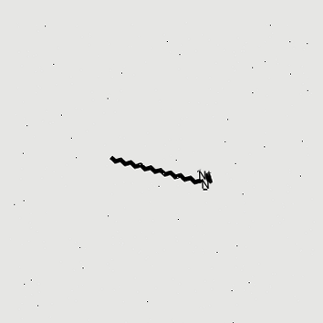 CCCCCCCCCCCCCCCCCCc1n(C)cc[n+]1C